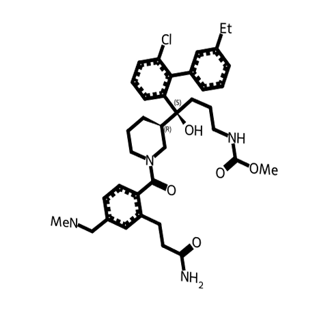 CCc1cccc(-c2c(Cl)cccc2[C@](O)(CCCNC(=O)OC)[C@@H]2CCCN(C(=O)c3ccc(CNC)cc3CCC(N)=O)C2)c1